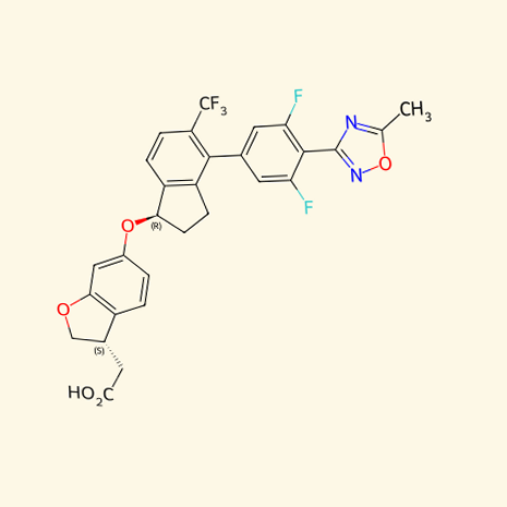 Cc1nc(-c2c(F)cc(-c3c(C(F)(F)F)ccc4c3CC[C@H]4Oc3ccc4c(c3)OC[C@H]4CC(=O)O)cc2F)no1